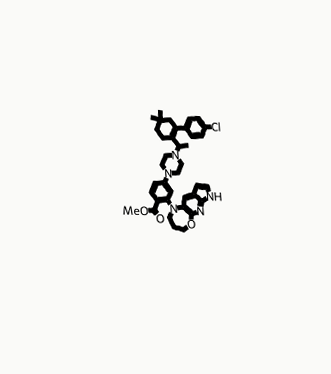 COC(=O)c1ccc(N2CCN(C(C)C3=C(c4ccc(Cl)cc4)CC(C)(C)CC3)CC2)cc1N1CCCOc2nc3[nH]ccc3cc21